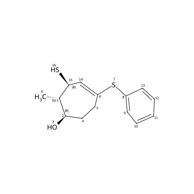 C[C@H]1[C@H](O)CCC(Sc2ccccc2)=C[C@@H]1S